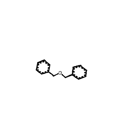 [C](OCc1ccccc1)c1ccccc1